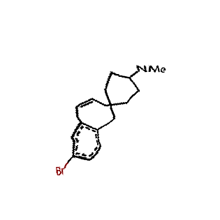 CNC1CCC2(C=Cc3cc(Br)ccc3C2)CC1